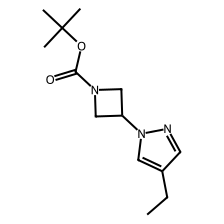 CCc1cnn(C2CN(C(=O)OC(C)(C)C)C2)c1